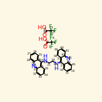 O=C(O)C(F)(F)F.O=C(O)C(F)(F)F.c1ccc2c(NCCNc3c4ccccc4nc4ccccc34)c3ccccc3nc2c1